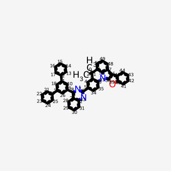 CC1(C)c2cc(-c3nc(-c4cc(-c5ccccc5)cc(-c5ccccc5)c4)c4ccccc4n3)ccc2-n2c3oc4ccccc4c3c3cccc1c32